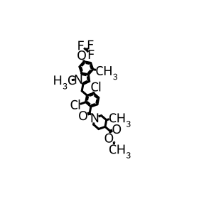 CCOC(=O)C1CCN(C(=O)c2ccc(Cl)c(Cc3cc4c(C)cc(OC(F)(F)F)cc4n3C)c2Cl)CC1C